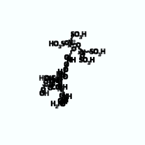 CC1(C)C(/C=C/C2=C(c3ccc(CCCCC(=O)NCCOCCOCCNC(=O)[C@H](CCCCn4cc(CCCC(=O)Nc5nnc(S(N)(=O)=O)s5)nn4)NC(=O)CC(NC(=O)CC(NC(=O)CCC(C)(c4ccc(O)cc4)c4ccc(O)cc4)C(=O)O)C(=O)O)cc3)C(=C/C=C3/N(CCCCS(=O)(=O)O)c4ccc(S(=O)(=O)O)cc4C3(C)C)/CCC2)=[N+](CCCCS(=O)(=O)O)c2ccc(S(=O)(=O)O)cc21